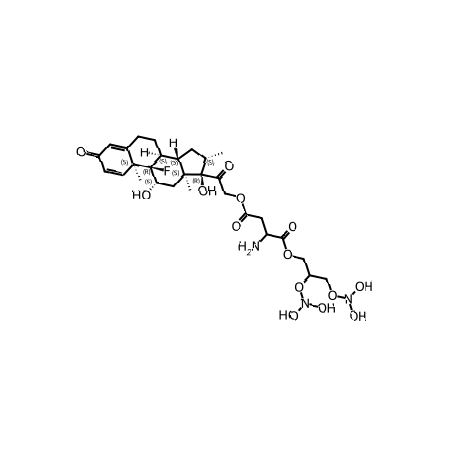 C[C@H]1C[C@H]2[C@@H]3CCC4=CC(=O)C=C[C@]4(C)[C@@]3(F)[C@@H](O)C[C@]2(C)[C@@]1(O)C(=O)COC(=O)CC(N)C(=O)OCC(CON(O)O)ON(O)O